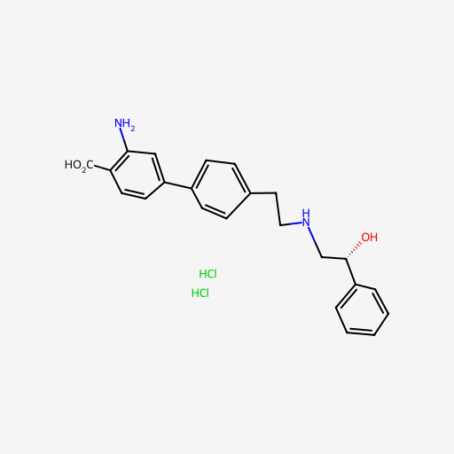 Cl.Cl.Nc1cc(-c2ccc(CCNC[C@H](O)c3ccccc3)cc2)ccc1C(=O)O